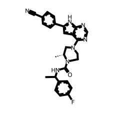 CC(NC(=O)N1CCN(c2ncnc3[nH]c(-c4ccc(C#N)cc4)cc23)C[C@H]1C)c1ccc(F)cc1